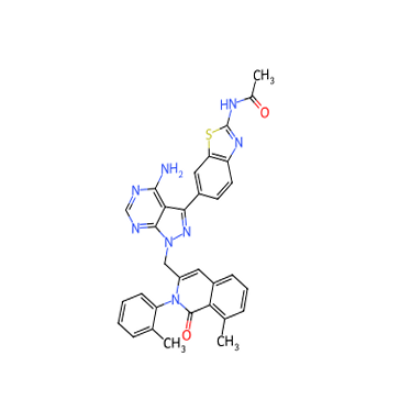 CC(=O)Nc1nc2ccc(-c3nn(Cc4cc5cccc(C)c5c(=O)n4-c4ccccc4C)c4ncnc(N)c34)cc2s1